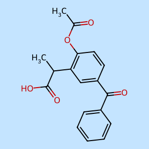 CC(=O)Oc1ccc(C(=O)c2ccccc2)cc1C(C)C(=O)O